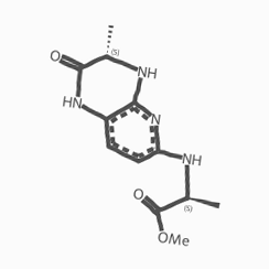 COC(=O)[C@H](C)Nc1ccc2c(n1)N[C@@H](C)C(=O)N2